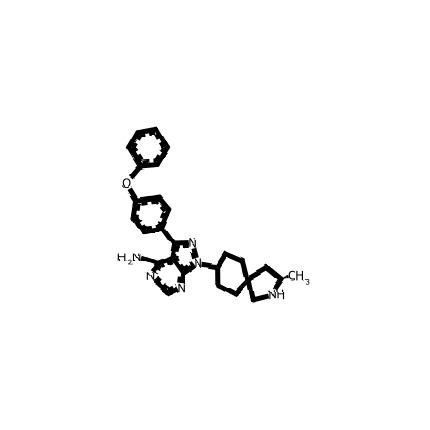 C[C@H]1CC2(CCC(n3nc(-c4ccc(Oc5ccccc5)cc4)c4c(N)ncnc43)CC2)CN1